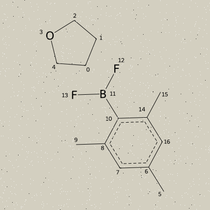 C1CCOC1.Cc1cc(C)c(B(F)F)c(C)c1